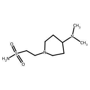 CN(C)C1CCN(CCS(N)(=O)=O)CC1